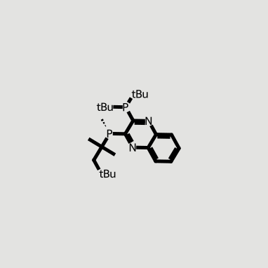 C[P@](c1nc2ccccc2nc1P(C(C)(C)C)C(C)(C)C)C(C)(C)CC(C)(C)C